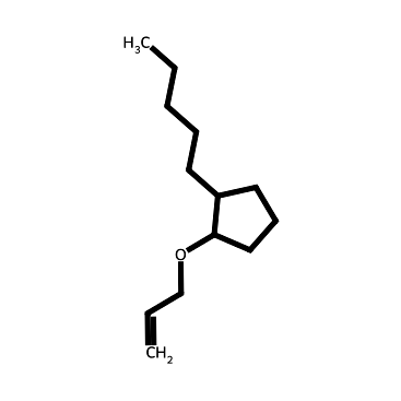 C=CCOC1CCCC1CCCCC